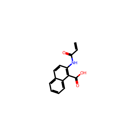 C=CC(=O)Nc1ccc2ccccc2c1C(=O)O